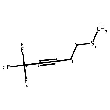 CSCCC#CC(F)(F)F